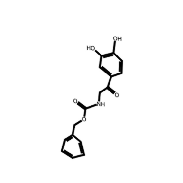 O=C(NCC(=O)c1ccc(O)c(O)c1)OCc1ccccc1